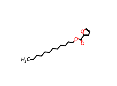 CCCCCCCCCCCCOC(=O)c1ccco1